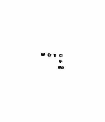 [C].[Cr].[Mo].[Ti].[V].[W]